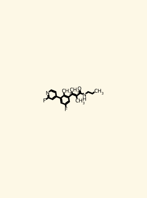 CCCNC(=O)/C(C)=C(\C)c1cc(F)cc(-c2ccnc(F)c2)c1C